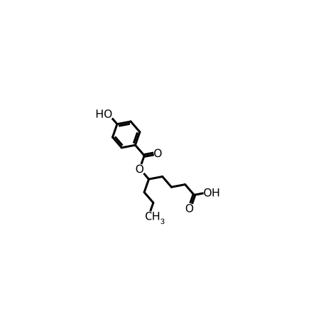 CCCC(CCCC(=O)O)OC(=O)c1ccc(O)cc1